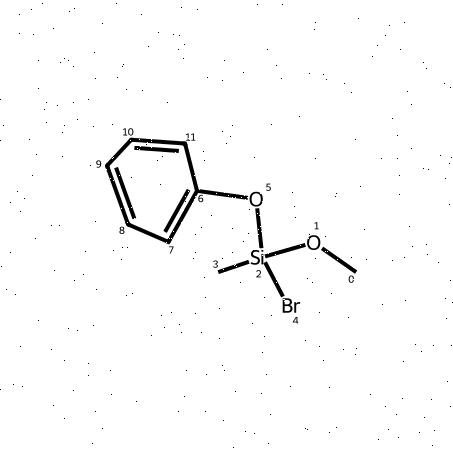 CO[Si](C)(Br)Oc1ccccc1